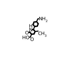 CCc1cc(C(=O)O)c(=O)[nH]c1-c1ccc(CN)cc1